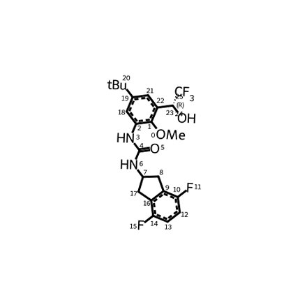 COc1c(NC(=O)NC2Cc3c(F)ccc(F)c3C2)cc(C(C)(C)C)cc1[C@@H](O)C(F)(F)F